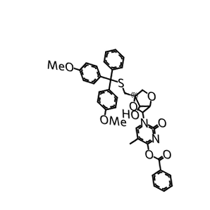 COc1ccc(C(SC[C@]23COC(C(n4cc(C)c(OC(=O)c5ccccc5)nc4=O)O2)C3O)(c2ccccc2)c2ccc(OC)cc2)cc1